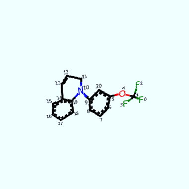 FC(F)(F)Oc1cccc(N2CC=Cc3ccccc32)c1